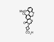 COc1cccc(F)c1-c1c(Cl)cc2c(=O)n(C3CN(C(=O)O)C3)cnc2c1F